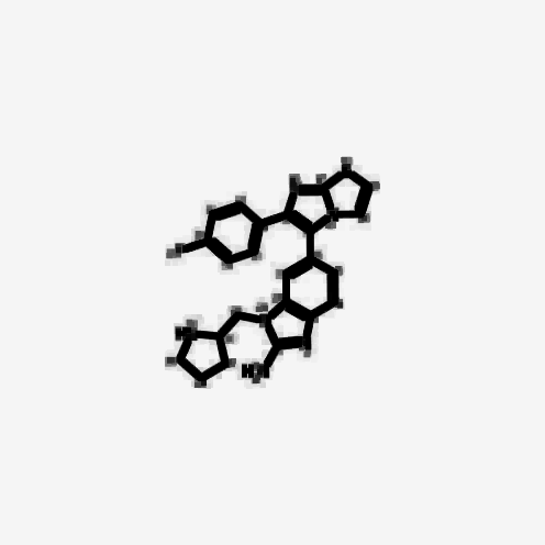 Nc1nc2ccc(-c3c(-c4ccc(F)cc4)nc4sccn34)cc2n1CC1CCCN1